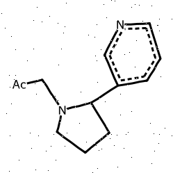 CC(=O)CN1CCCC1c1cccnc1